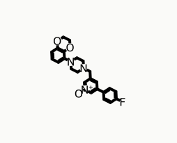 [O-][n+]1cc(CN2CCN(c3cccc4c3OCCO4)CC2)cc(-c2ccc(F)cc2)c1